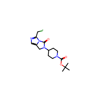 CC(C)(C)OC(=O)N1CCC(N2Cc3cnc(CF)n3C2=O)CC1